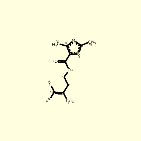 CC(CCOC(=O)c1sc(C)nc1C)=C(F)F